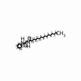 CCCCCCCCCCCCCCCC(=O)NCC(=O)Nc1ccccc1